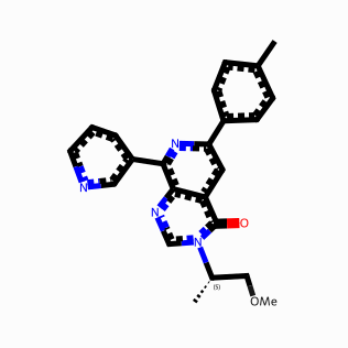 COC[C@H](C)n1cnc2c(-c3cccnc3)nc(-c3ccc(C)cc3)cc2c1=O